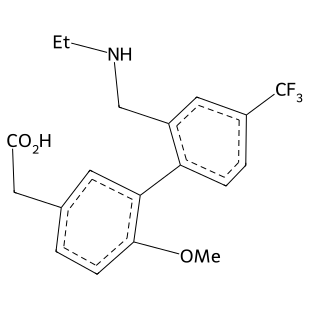 CCNCc1cc(C(F)(F)F)ccc1-c1cc(CC(=O)O)ccc1OC